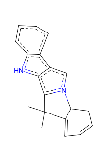 CC1(C)C2=CC=CCC2n2cc3c([nH]c4ccccc43)c21